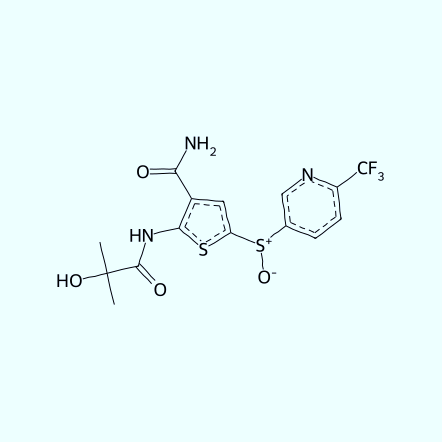 CC(C)(O)C(=O)Nc1sc([S+]([O-])c2ccc(C(F)(F)F)nc2)cc1C(N)=O